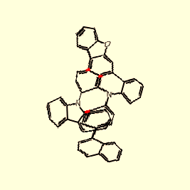 c1ccc(N(c2ccc(-c3cccc4ccccc34)cc2)c2ccccc2-n2c3ccccc3c3ccccc32)c(-c2ccc3c(c2)oc2ccccc23)c1